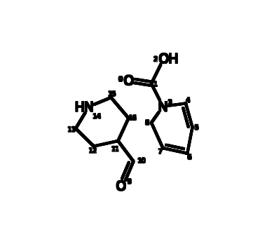 O=C(O)N1C=CC=CC1.O=CC1CCNCC1